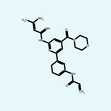 C=CC(=O)NC1=CCCC(c2cc(C(=O)N3CCOCC3)cc(NC(=N)/C=C(/C)N)n2)=C1